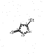 CCc1cc(=S)ss1